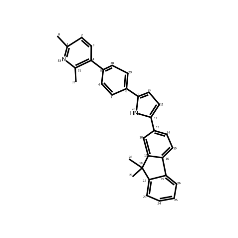 Cc1ccc(-c2ccc(-c3ccc(-c4ccc5c(c4)C(C)(C)c4ccccc4-5)[nH]3)cc2)c(C)n1